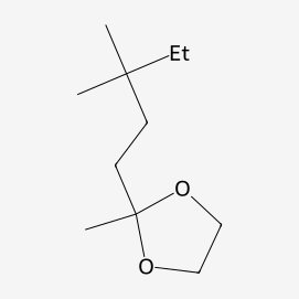 CCC(C)(C)CCC1(C)OCCO1